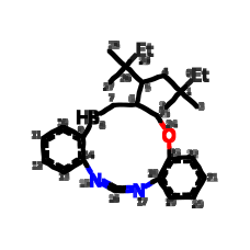 CCC(C)(C)CC(C1CBc2ccccc2N=C=Nc2ccccc2OC1)C(C)(C)CC